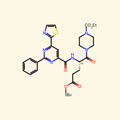 CCOC(=O)N1CCN(C(=O)[C@H](CCC(=O)OC(C)(C)C)NC(=O)c2cc(-c3nccs3)nc(-c3ccccc3)n2)CC1